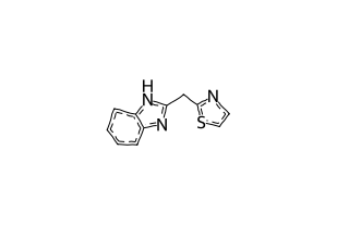 c1ccc2[nH]c(Cc3nccs3)nc2c1